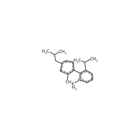 Cc1cc(CC(C)C)ccc1-c1c(C(C)C)ccc[n+]1C